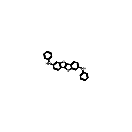 c1ccc(Nc2ccc3c(c2)sc2c4ccc(Nc5ccccc5)cc4sc32)cc1